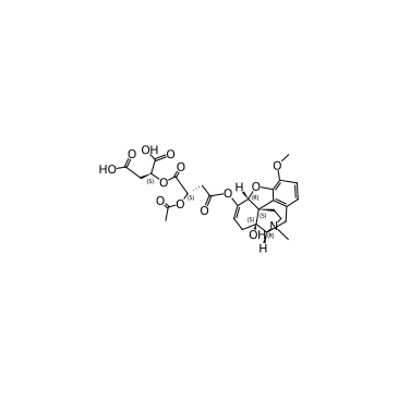 COc1ccc2c3c1O[C@H]1C(OC(=O)C[C@H](OC(C)=O)C(=O)O[C@@H](CC(=O)O)C(=O)O)=CC[C@@]4(O)[C@@H](C2)N(C)CC[C@]314